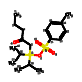 CCCC(=O)CS(OS(=O)(=O)c1ccc(C)cc1)(C(C)C)C(C)C